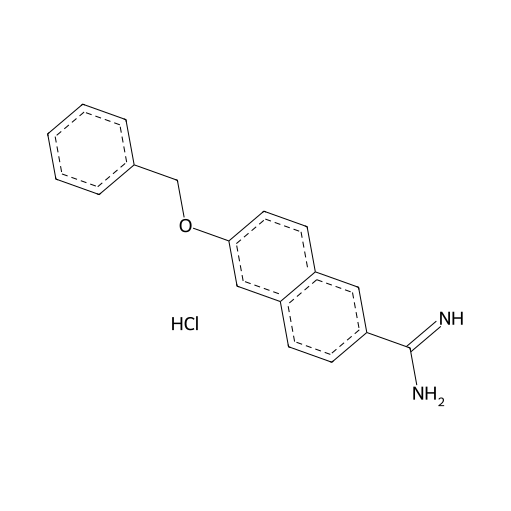 Cl.N=C(N)c1ccc2cc(OCc3ccccc3)ccc2c1